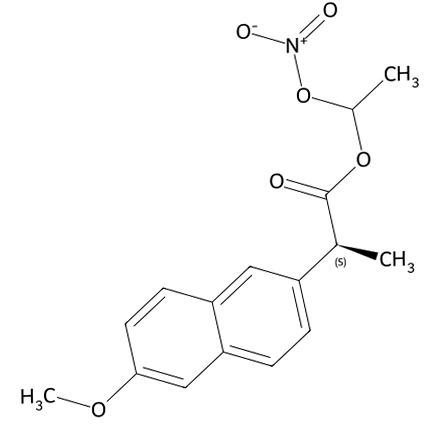 COc1ccc2cc([C@H](C)C(=O)OC(C)O[N+](=O)[O-])ccc2c1